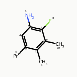 Cc1c(C(C)C)cc(N)c(F)c1C